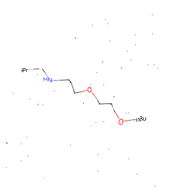 CCCCOCCOCCNCC(C)C